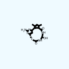 Cc1cc(C)c2cc1C(=O)NCC(O)CNC(=O)CCSc1cc-2nc(N)n1